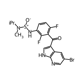 CC(C)N(C)[S+]([O-])Nc1ccc(F)c(C(=O)c2c[nH]c3ncc(Br)cc23)c1F